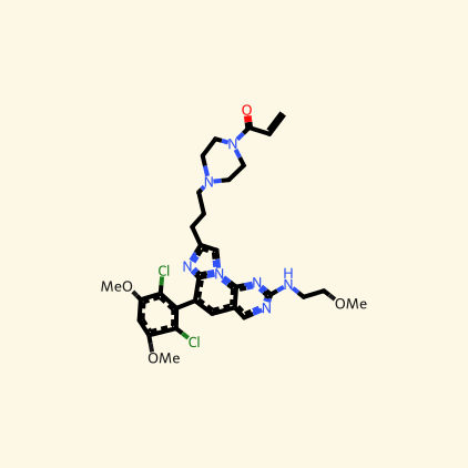 C=CC(=O)N1CCN(CCCc2cn3c(n2)c(-c2c(Cl)c(OC)cc(OC)c2Cl)cc2cnc(NCCOC)nc23)CC1